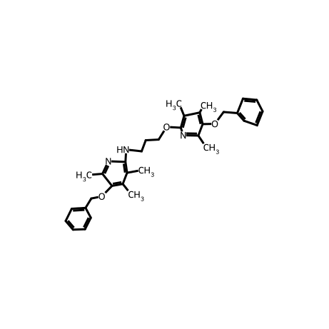 Cc1nc(NCCCOc2nc(C)c(OCc3ccccc3)c(C)c2C)c(C)c(C)c1OCc1ccccc1